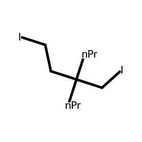 CCCC(CI)(CCC)CCI